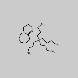 C1CCC2=NCCCN2CC1.CCCC[B-](CCCC)(CCCC)CCCC